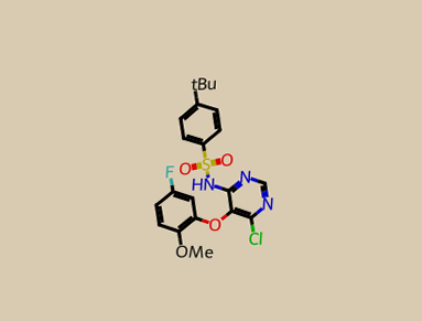 COc1ccc(F)cc1Oc1c(Cl)ncnc1NS(=O)(=O)c1ccc(C(C)(C)C)cc1